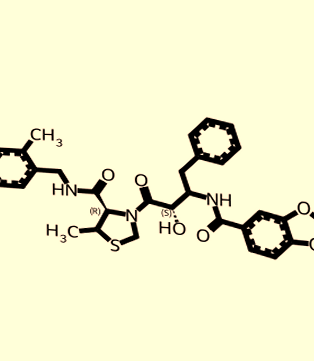 Cc1ccccc1CNC(=O)[C@@H]1C(C)SCN1C(=O)[C@@H](O)C(Cc1ccccc1)NC(=O)c1ccc2c(c1)OCO2